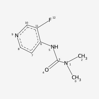 CN(C)C(=O)Nc1ccn[c]c1F